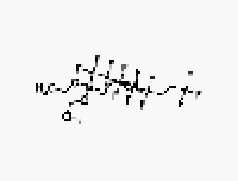 CCO[Si](OCC)(OCC)C(F)(F)C(F)(F)C(F)(F)C(F)(F)C(F)(F)CCC(F)(F)F